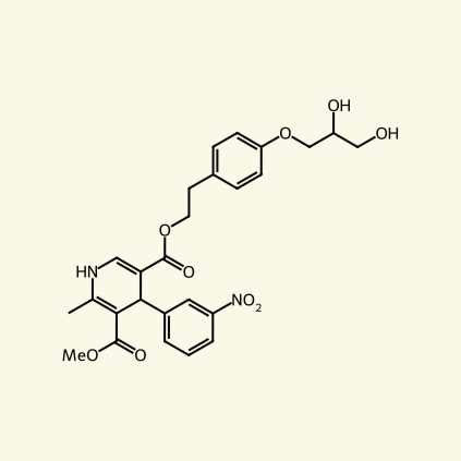 COC(=O)C1=C(C)NC=C(C(=O)OCCc2ccc(OCC(O)CO)cc2)C1c1cccc([N+](=O)[O-])c1